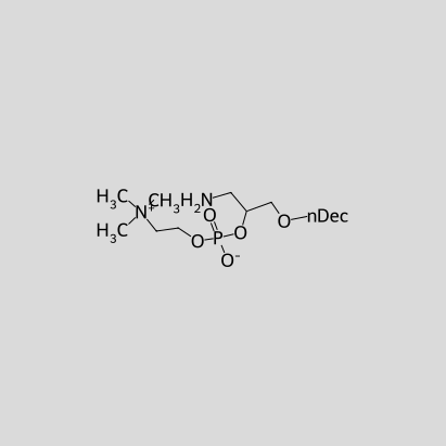 CCCCCCCCCCOCC(CN)OP(=O)([O-])OCC[N+](C)(C)C